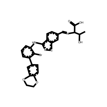 CC(O)C(N=Cc1ccc2c(Nc3cccc(-c4ccc5c(c4)OCCO5)c3Br)nsc2c1)C(=O)O